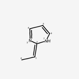 CC=C1N=CC=CN1